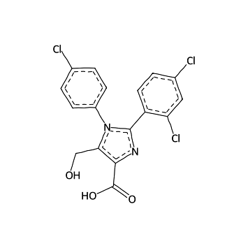 O=C(O)c1nc(-c2ccc(Cl)cc2Cl)n(-c2ccc(Cl)cc2)c1CO